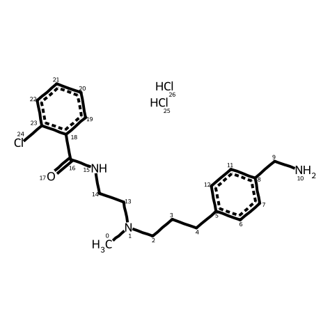 CN(CCCc1ccc(CN)cc1)CCNC(=O)c1ccccc1Cl.Cl.Cl